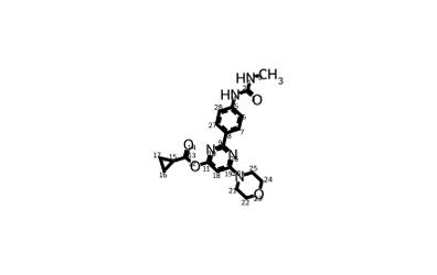 CNC(=O)Nc1ccc(-c2nc(OC(=O)C3CC3)cc(N3CCOCC3)n2)cc1